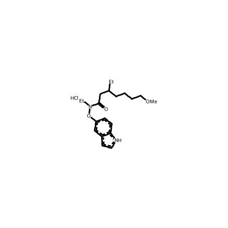 CCC(CCCCOC)CC(=O)N(CC)Oc1ccc2[nH]ccc2c1.Cl